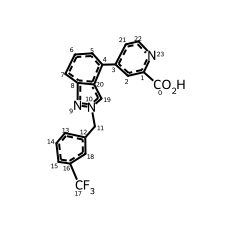 O=C(O)c1cc(-c2cccc3nn(Cc4cccc(C(F)(F)F)c4)cc23)ccn1